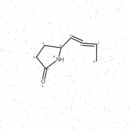 CC=C=CC1CCC(=O)N1